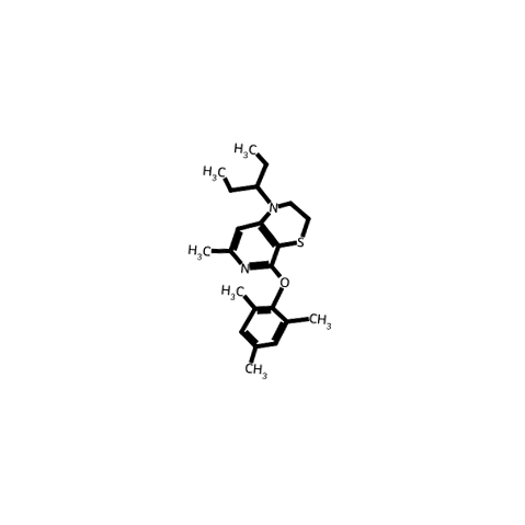 CCC(CC)N1CCSc2c1cc(C)nc2Oc1c(C)cc(C)cc1C